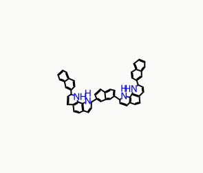 C1=CC(c2ccc3ccccc3c2)Nc2c1ccc1c2NC(c2ccc3ccc(C4C=Cc5ccc6c(c5N4)NC(c4ccc5ccccc5c4)C=C6)cc3c2)C=C1